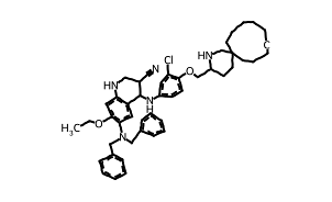 CCOc1cc2c(cc1N(Cc1ccccc1)Cc1ccccc1)C(Nc1ccc(OCC3CCC4(CCCCCCCCC4)CN3)c(Cl)c1)C(C#N)CN2